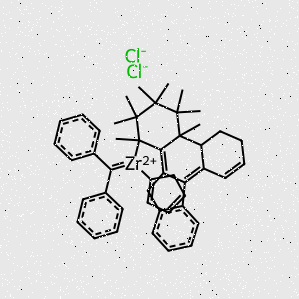 CC12C(=C3Cc4ccccc4C3=C3C=CCCC31)[C](C)([Zr+2]([C]1=CC=CC1)=[C](c1ccccc1)c1ccccc1)C(C)(C)C(C)(C)C2(C)C.[Cl-].[Cl-]